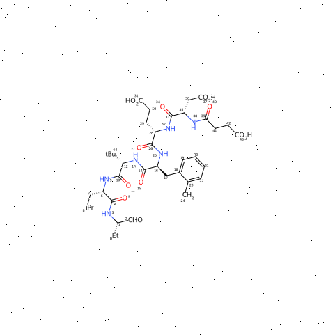 CC[C@@H](C=O)NC(=O)[C@H](CC(C)C)NC(=O)[C@@H](NC(=O)[C@H](Cc1ccccc1C)NC(=O)[C@H](CCC(=O)O)NC(=O)[C@H](CC(=O)O)NC(=O)CCC(=O)O)C(C)(C)C